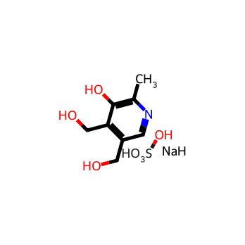 Cc1ncc(CO)c(CO)c1O.O=S(=O)(O)O.[NaH]